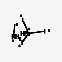 CN.[I][PbH]([I])[I]